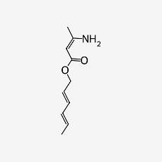 CC=CC=CCOC(=O)/C=C(/C)N